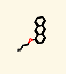 CC(C)CCOc1cccc2cc3ccccc3cc12